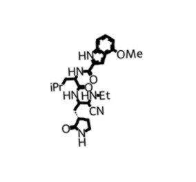 CCNC(C#N)C(C[C@@H]1CCNC1=O)NC(=O)C(CC(C)C)NC(=O)c1cc2c(OC)cccc2[nH]1